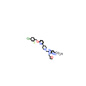 O=C(O)c1cc2nc(CN3CCC(c4cccc(OCC5=CCC(Cl)C=C5F)n4)CC3)n(CC3CCO3)c2[nH]1